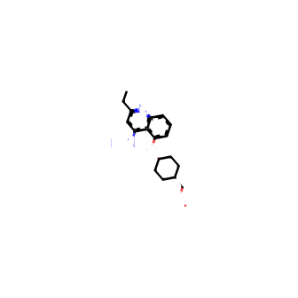 CCc1cc(N)c2c(O[C@H]3CC[C@H](COC)CC3)cccc2n1